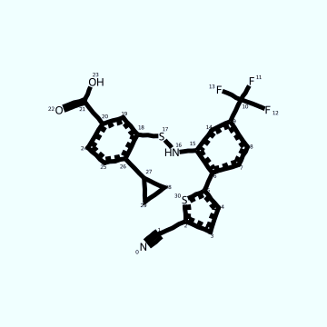 N#Cc1ccc(-c2ccc(C(F)(F)F)cc2NSc2cc(C(=O)O)ccc2C2CC2)s1